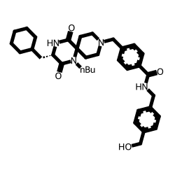 CCCCN1C(=O)[C@H](CC2CCCCC2)NC(=O)C12CCN(Cc1ccc(C(=O)NCc3ccc(CO)cc3)cc1)CC2